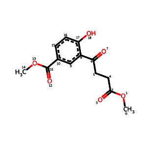 COC(=O)CCC(=O)c1cc(C(=O)OC)ccc1O